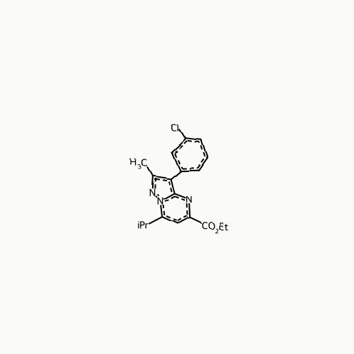 CCOC(=O)c1cc(C(C)C)n2nc(C)c(-c3cccc(Cl)c3)c2n1